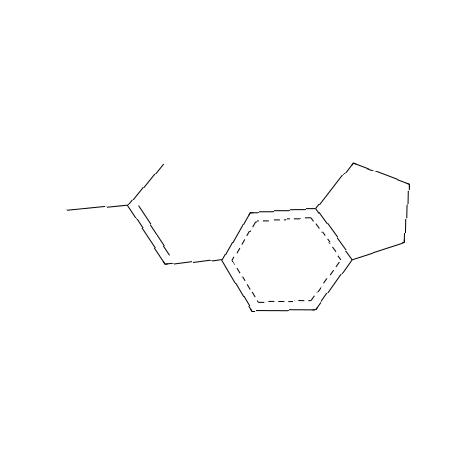 CC(C)=Cc1ccc2c(c1)CCC2